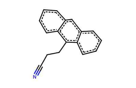 N#CCCc1c2ccccc2cc2ccccc12